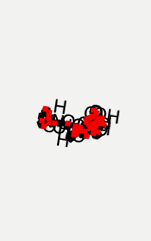 CC(=O)O[C@H]1C(=O)[C@@]2(C)[C@H]([C@H](OC(=O)c3ccccc3)[C@]3(O)C[C@H](OC(=O)[C@H](OC(=O)CCC(=O)NCC(=O)NCCC(=O)N4Cc5ccccc5/C=C\c5ccccc54)C(NC(=O)c4ccccc4)c4ccccc4)C(C)=C1C3(C)C)[C@]1(OC(C)=O)CO[C@@H]1C[C@@H]2O